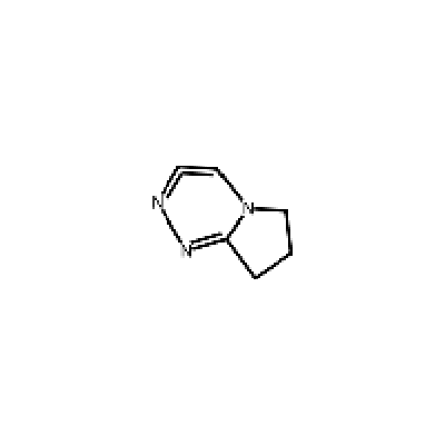 C1=CN2CCCC2=NN=1